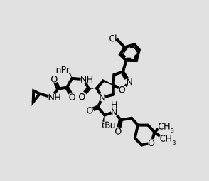 CCC[C@H](NC(=O)[C@@H]1C[C@]2(CC(c3cccc(Cl)c3)=NO2)CN1C(=O)[C@@H](NC(=O)CC1CCOC(C)(C)C1)C(C)(C)C)C(=O)C(=O)NC1CC1